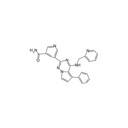 NC(=O)c1cncc(-c2nc(NCc3ccccn3)c3c(-c4ccccc4)ccn3n2)c1